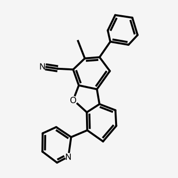 Cc1c(-c2ccccc2)cc2c(oc3c(-c4ccccn4)cccc32)c1C#N